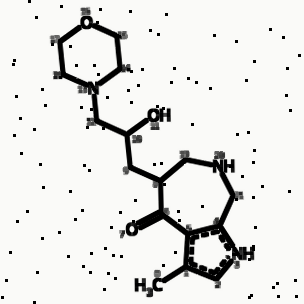 Cc1c[nH]c2c1C(=O)C(CC(O)CN1CCOCC1)CNC2